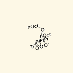 CC(C)[O-].CC(C)[O-].CC(C)[O-].CCCCCCCCOCCCCCCCC.[Ti+3]